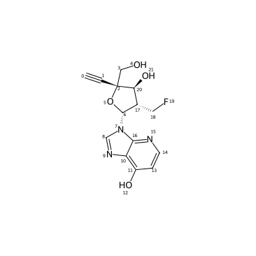 C#C[C@]1(CO)O[C@@H](n2cnc3c(O)ccnc32)[C@@H](CF)[C@@H]1O